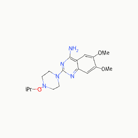 COc1cc2nc(N3CCN(OC(C)C)CC3)nc(N)c2cc1OC